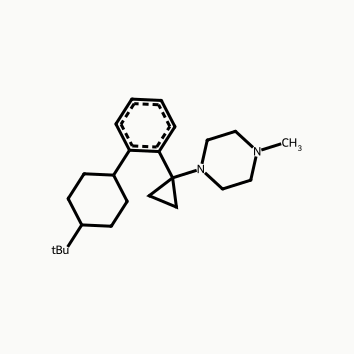 CN1CCN(C2(c3ccccc3C3CCC(C(C)(C)C)CC3)CC2)CC1